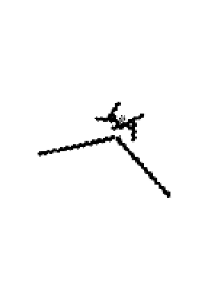 CCCCCCCCCCCCCCCCCCCCCCC[CH2][Pd][CH2]CCCCCCCCCCCCCCCCCCCCCCC.CCCCc1cc(CCCC)cc(C2=CC(CC)=C(c3cc(CCCC)cc(CCCC)c3)[N+]2=[N-])c1